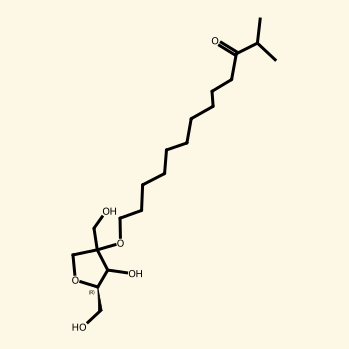 CC(C)C(=O)CCCCCCCCCCOC1(CO)CO[C@H](CO)C1O